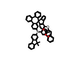 CC1(C)c2ccccc2-c2ccc(N(c3ccc4c(c3)C3(c5ccccc5-c5ccccc5-4)c4ccccc4-c4c3ccc3c4oc4ccccc43)c3ccc4oc5ccccc5c4c3)cc21